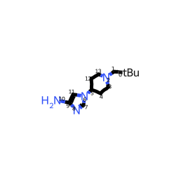 CC(C)(C)CN1CCC(n2cnc(N)c2)CC1